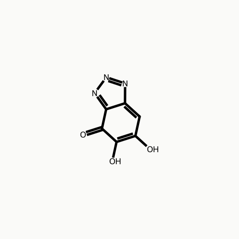 O=C1C2=NN=NC2=CC(O)=C1O